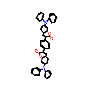 O=c1oc2cc(N(c3ccccc3)c3ccccc3)ccc2cc1-c1ccc(-c2cc3ccc(N(c4ccccc4)c4ccccc4)cc3oc2=O)cc1